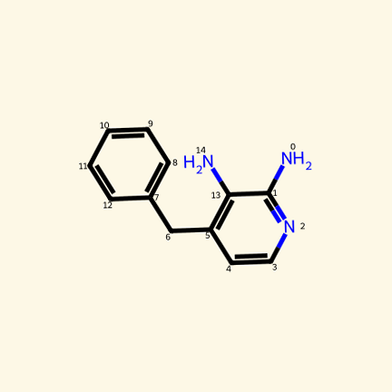 Nc1nccc(Cc2ccccc2)c1N